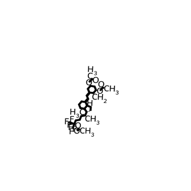 C=C1/C(=C\C=C2/CCC[C@]3(C)[C@@H]([C@H](C)CCCC(OC(C)=O)(C(F)(F)F)C(F)(F)F)CC[C@@H]23)C[C@@H](OC(C)=O)C[C@@H]1OC(C)=O